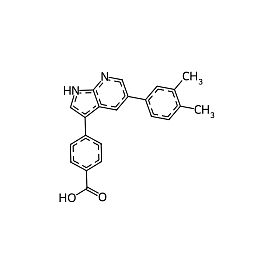 Cc1ccc(-c2cnc3[nH]cc(-c4ccc(C(=O)O)cc4)c3c2)cc1C